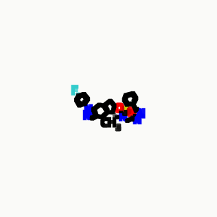 C[C@@H]1C2=C(CC[C@@H]2CN(CC#N)S(=O)(=O)c2ccccc2C#N)Cc2c1cnn2-c1ccc(F)cc1